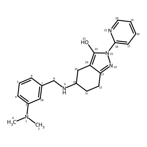 CN(C)c1cccc(CNC2CCc3nn(-c4ccccn4)c(O)c3C2)c1